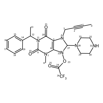 CC#CCN1c2c(n(C)c(=O)n(C(C)c3ccccc3)c2=O)N(OC(=O)C(F)(F)F)C1N1CCNCC1